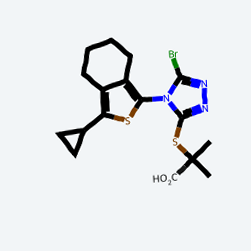 CC(C)(Sc1nnc(Br)n1-c1sc(C2CC2)c2c1CCCC2)C(=O)O